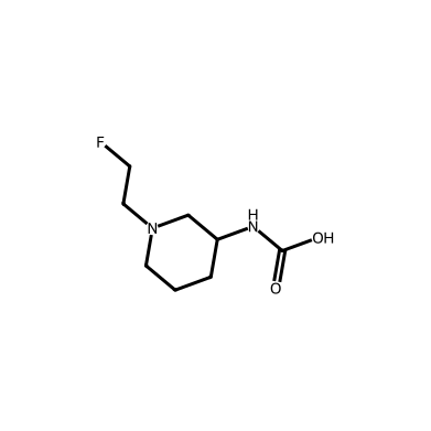 O=C(O)NC1CCCN(CCF)C1